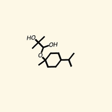 CC(C)C1CCC(C)(OC(O)C(C)(C)O)CC1